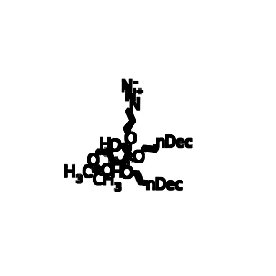 CCCCCCCCCCCCO[C@@H]1[C@@H](OCCCCCCCCCCCC)[C@H](OCCCN=[N+]=[N-])O[C@@H]2COC(C)(C)O[C@@H]12